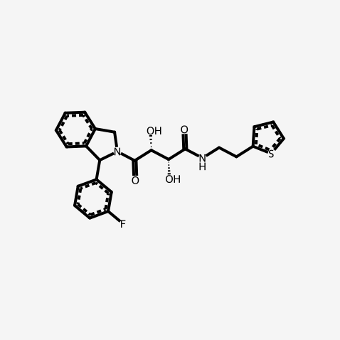 O=C(NCCc1cccs1)[C@H](O)[C@@H](O)C(=O)N1Cc2ccccc2C1c1cccc(F)c1